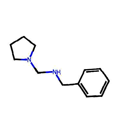 c1ccc(CNCN2CCCC2)cc1